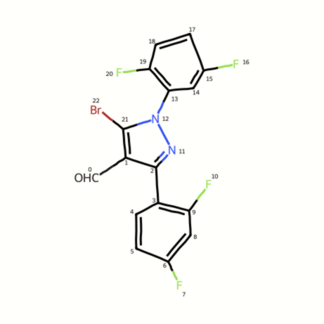 O=Cc1c(-c2ccc(F)cc2F)nn(-c2cc(F)ccc2F)c1Br